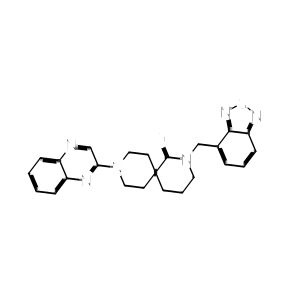 O=C1N(Cc2cccc3nsnc23)CCCC12CCN(c1cnc3ccccc3n1)CC2